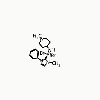 CN1CCC([NH][Pt]([Br])([Br])=[c]2n(C)ccn2-c2ccccc2)CC1